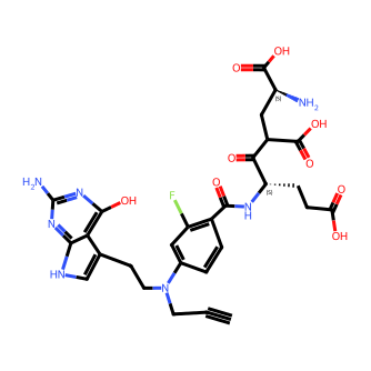 C#CCN(CCc1c[nH]c2nc(N)nc(O)c12)c1ccc(C(=O)N[C@@H](CCC(=O)O)C(=O)C(C[C@H](N)C(=O)O)C(=O)O)c(F)c1